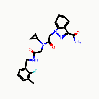 Cc1cccc(CNC(=O)CN(C(=O)Cn2nc(C(N)=O)c3ccccc32)C2CC2)c1F